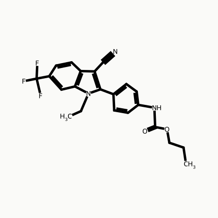 CCCOC(=O)Nc1ccc(-c2c(C#N)c3ccc(C(F)(F)F)cc3n2CC)cc1